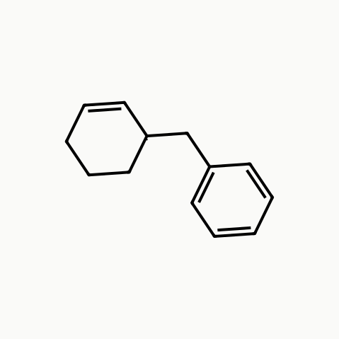 C1=C[C](Cc2ccccc2)CCC1